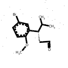 COc1ccc(Br)cc1[C@@H](CC=O)C(C)C